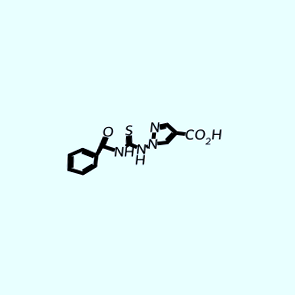 O=C(O)c1cnn(NC(=S)NC(=O)c2ccccc2)c1